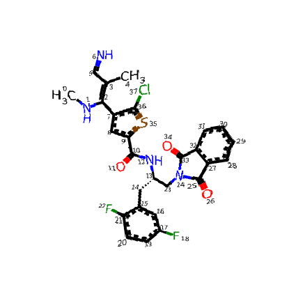 CN/C(=C(/C)C=N)c1cc(C(=O)N[C@@H](Cc2cc(F)ccc2F)CN2C(=O)c3ccccc3C2=O)sc1Cl